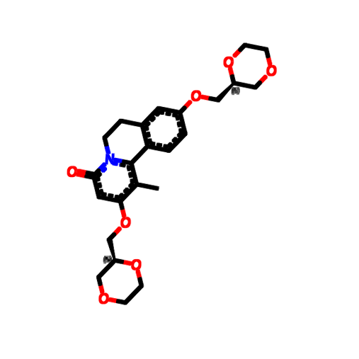 Cc1c(OC[C@@H]2COCCO2)cc(=O)n2c1-c1ccc(OC[C@@H]3COCCO3)cc1CC2